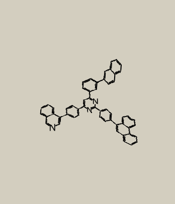 c1cc(-c2ccc3ccccc3c2)cc(-c2cc(-c3ccc(-c4cncc5ccccc45)cc3)nc(-c3ccc(-c4cc5ccccc5c5ccccc45)cc3)n2)c1